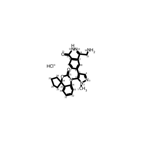 Cl.Cn1ncc(-c2ccc3c(=O)[nH]nc(CN)c3c2)c1N1C(=O)OC2(CCCC2)c2ccccc21